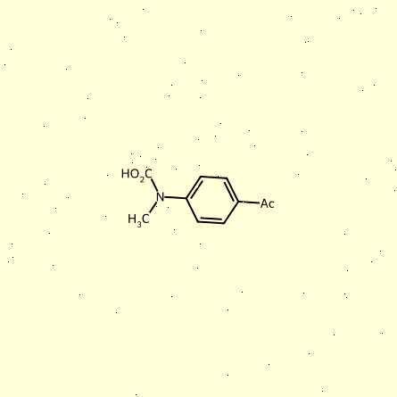 CC(=O)c1ccc(N(C)C(=O)O)cc1